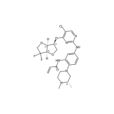 C=CC(=O)Nc1cc(Nc2ncc(Cl)c(O[C@H]3CO[C@@H]4[C@H]3OCC4(F)F)n2)ccc1N1CCN(C)[C@@H](C)C1